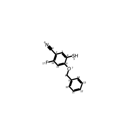 N#Cc1cc(S)c(OCc2ccccc2)cc1F